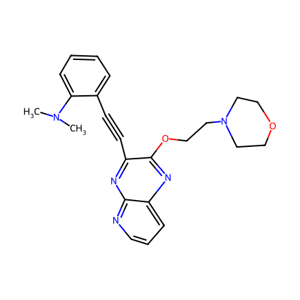 CN(C)c1ccccc1C#Cc1nc2ncccc2nc1OCCN1CCOCC1